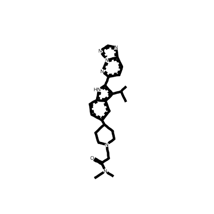 CC(C)c1c(-c2ccc3ncnn3n2)[nH]c2ccc(C3CCN(CC(=O)N(C)C)CC3)cc12